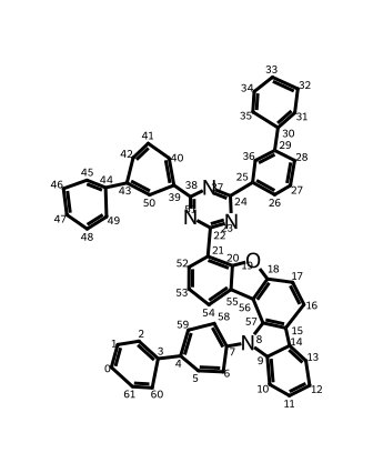 c1ccc(-c2ccc(-n3c4ccccc4c4ccc5oc6c(-c7nc(-c8cccc(-c9ccccc9)c8)nc(-c8cccc(-c9ccccc9)c8)n7)cccc6c5c43)cc2)cc1